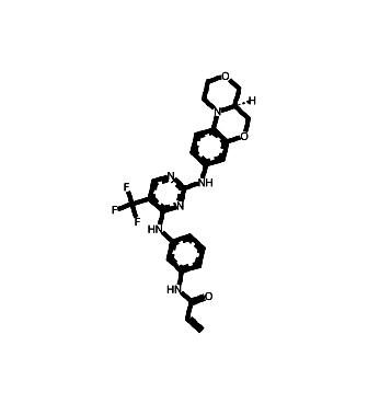 C=CC(=O)Nc1cccc(Nc2nc(Nc3ccc4c(c3)OC[C@@H]3COCCN43)ncc2C(F)(F)F)c1